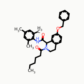 CCCCCC(=O)N1CCc2ccc(OCc3ccccc3)cc2C1C(=O)Nc1c(C)cc(C)cc1C